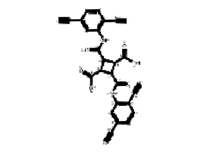 C#Cc1ccc(C#C)c(NC(=O)C2C(C(=O)O)C(C(=O)Nc3cc(C#C)ccc3C#C)C2C(=O)O)c1